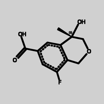 C[C@@]1(O)COCc2c(F)cc(C(=O)O)cc21